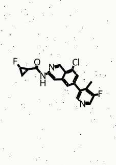 Cc1c(F)cncc1-c1cc(Cl)c2cnc(NC(=O)C3CC3F)cc2c1